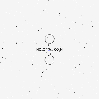 O=C(O)/C(=C(/C(=O)O)C1CCCCCC1)C1CCCCCC1